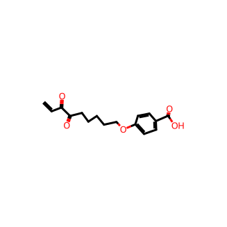 C=CC(=O)C(=O)CCCCCOc1ccc(C(=O)O)cc1